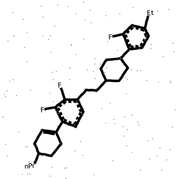 CCCC1CC=C(c2ccc(CCC3CCC(c4ccc(CC)cc4F)CC3)c(F)c2F)CC1